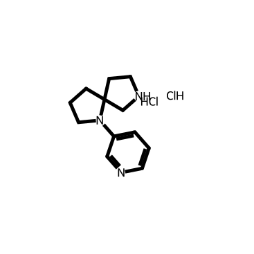 Cl.Cl.c1cncc(N2CCCC23CCNC3)c1